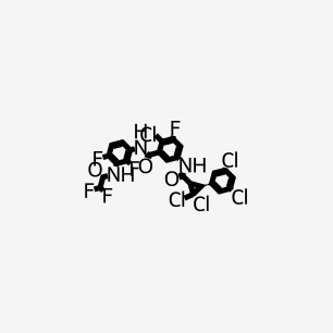 O=C(Nc1ccc(F)c(NC(=O)C(F)F)c1F)c1cc(NC(=O)C2[C@H](c3cc(Cl)cc(Cl)c3)C2(Cl)Cl)cc(F)c1Cl